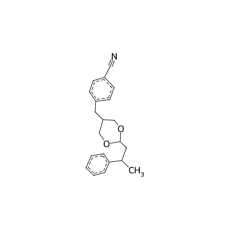 CC(CC1OCC(Cc2ccc(C#N)cc2)CO1)c1ccccc1